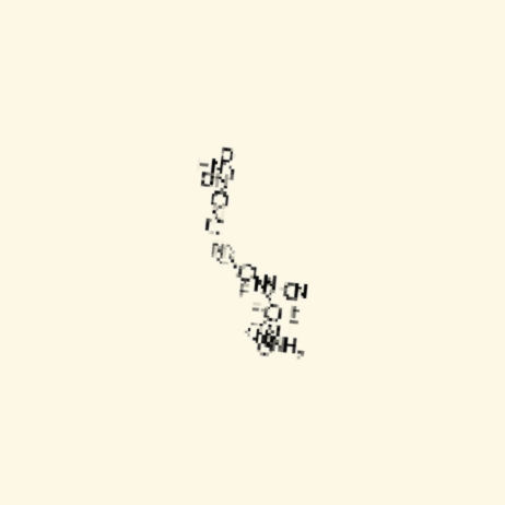 NS(=O)(=O)N1CCCC1c1cc(C(F)F)cc(-c2cn(-c3ccc(N4CCN(CC5CCN(c6ccc(N7CCC(=O)NC7=O)cc6)CC5)CC4)cc3F)nc2-c2ccncc2)c1F